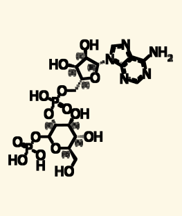 Nc1ncnc2c1ncn2[C@@H]1O[C@H](COP(=O)(O)O[C@H]2C(OP(=O)(O)O)O[C@H](CO)[C@@H](O)[C@@H]2O)[C@@H](O)[C@H]1O